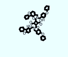 O=C(O)C1C(C(=O)N(Cc2ccc(Oc3ccccc3)cc2)Cc2ccc3oc4ccccc4c3c2)C(C(=O)O)C1C(=O)N(Cc1ccc(Oc2ccccc2)cc1)Cc1ccc2oc3ccccc3c2c1